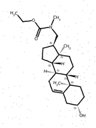 CCOC(=O)N(C)C[C@@H]1CC[C@H]2[C@@H]3CC=C4C[C@@H](O)CC[C@]4(C)[C@H]3CC[C@]12C